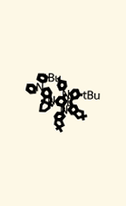 CC1(C)Cc2ccc(N3c4cc5c(cc4B4c6cc(C(C)(C)C)ccc6N(c6ccc(C(C)(C)C)cc6)c6cc(N7c8ccc(N(c9ccccc9)c9ccccc9)cc8C8(C)CCCCC78C)cc3c64)CC(C)(C)C5)cc2C1